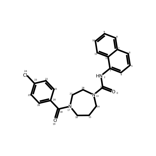 O=C(Nc1cccc2ccccc12)N1CCCN(C(=O)c2ccc(Cl)cc2)CC1